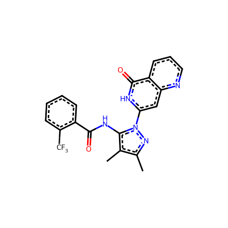 Cc1nn(-c2cc3ncccc3c(=O)[nH]2)c(NC(=O)c2ccccc2C(F)(F)F)c1C